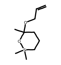 C=CCOC1(C)CCC[Si](C)(C)O1